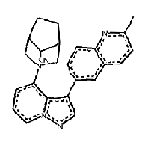 Cc1ccc2cc(-c3cnn4cccc(N5CC6CCC(C5)C6C#N)c34)ccc2n1